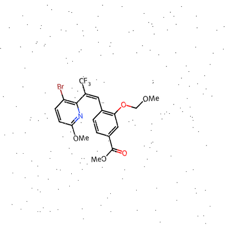 COCOc1cc(C(=O)OC)ccc1C=C(c1nc(OC)ccc1Br)C(F)(F)F